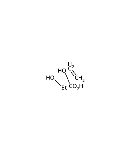 C=C.CCO.O=C(O)O